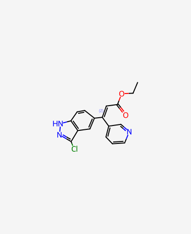 CCOC(=O)/C=C(\c1cccnc1)c1ccc2[nH]nc(Cl)c2c1